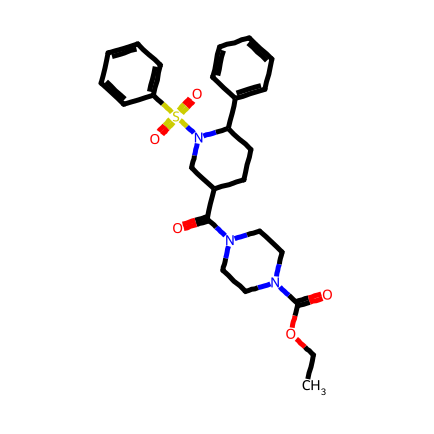 CCOC(=O)N1CCN(C(=O)C2CCC(c3ccccc3)N(S(=O)(=O)c3ccccc3)C2)CC1